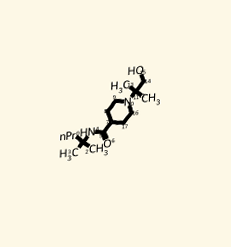 CCCC(C)(C)NC(=O)C1CCN(C(C)(C)CO)CC1